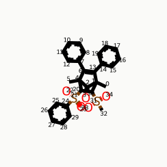 CC12C(=O)C(C)(C(c3ccccc3)=C1c1ccccc1)C(S(=O)(=O)c1ccccc1)C2S(C)(=O)=O